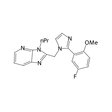 CCCn1c(Cn2ccnc2-c2cc(F)ccc2OC)nc2cccnc21